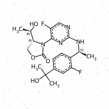 C[C@H](Nc1ncc(F)c(N2C(=O)OC[C@@H]2[C@@H](C)O)n1)c1ccc(C(C)(C)O)cc1F